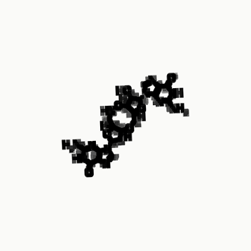 Nc1nc2c(ncn2[C@@H]2O[C@@H]3CO[C@H]4C[C@H](n5cnc6c(=O)[nH]c(N)nc65)O[C@@H]4CNO[C@H]3[C@H]2O)c(=O)[nH]1